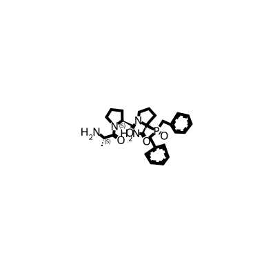 C[C@H](N)C(=O)N1CCC[C@H]1C(=O)N1CCC[C@]1(C(N)=O)P(=O)(Cc1ccccc1)Cc1ccccc1